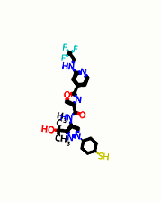 CC(C)(O)c1nn([C@H]2CC[C@H](S)CC2)cc1NC(=O)c1coc(-c2ccnc(NCC(F)(F)F)c2)n1